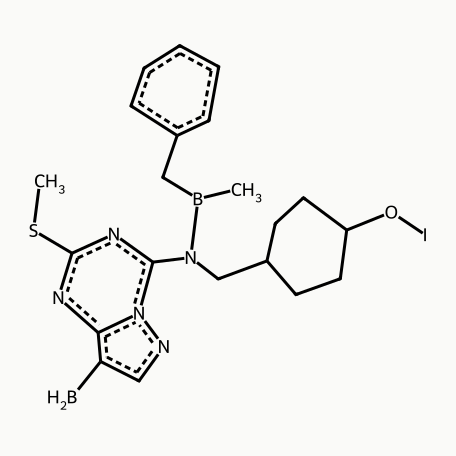 Bc1cnn2c(N(CC3CCC(OI)CC3)B(C)Cc3ccccc3)nc(SC)nc12